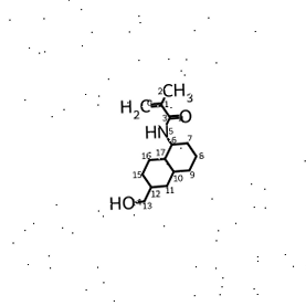 C=C(C)C(=O)NC1CCCC2CC(CO)CCC21